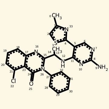 Cc1csc(-c2cnc(N)nc2NC(C)c2nc3cccc(Cl)c3c(=O)n2-c2ccccc2)n1